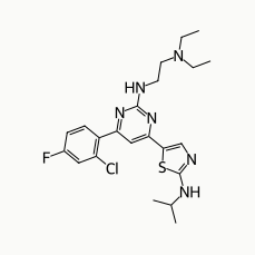 CCN(CC)CCNc1nc(-c2cnc(NC(C)C)s2)cc(-c2ccc(F)cc2Cl)n1